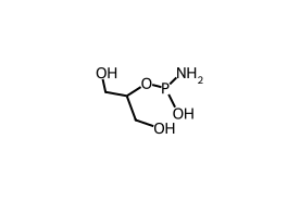 NP(O)OC(CO)CO